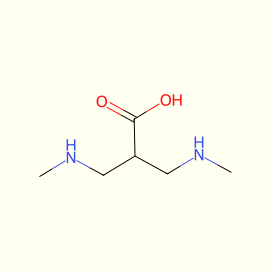 CNCC(CNC)C(=O)O